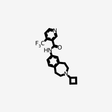 O=C(Nc1ccc2c(c1)CCN(C1CCC1)CC2)c1cnccc1C(F)(F)F